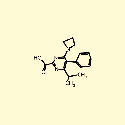 CC(C)c1nc(C(=O)O)nc(N2CCC2)c1-c1ccccc1